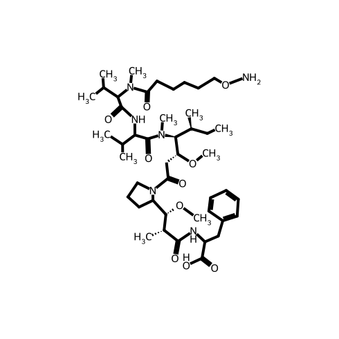 CC[C@H](C)[C@@H]([C@@H](CC(=O)N1CCCC1[C@H](OC)[C@@H](C)C(=O)NC(Cc1ccccc1)C(=O)O)OC)N(C)C(=O)C(NC(=O)C(C(C)C)N(C)C(=O)CCCCCON)C(C)C